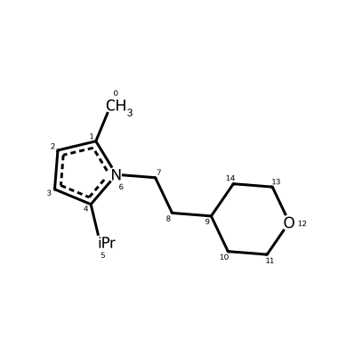 Cc1ccc(C(C)C)n1CCC1CCOCC1